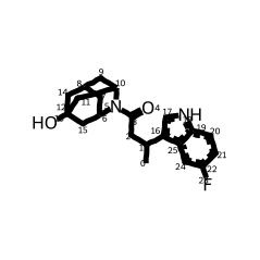 CC(CC(=O)N1C2CC3CC1CC(O)(C3)C2)c1c[nH]c2ccc(F)cc12